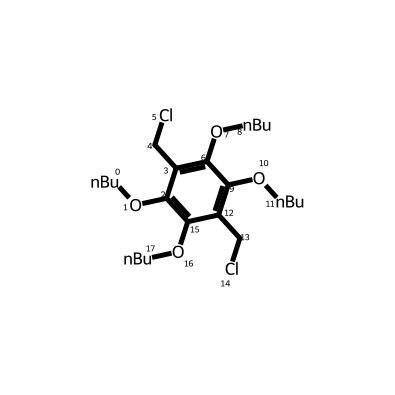 CCCCOc1c(CCl)c(OCCCC)c(OCCCC)c(CCl)c1OCCCC